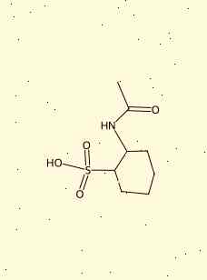 CC(=O)NC1CCCCC1S(=O)(=O)O